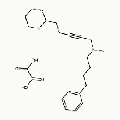 CN(CC#CCCC1SCCCS1)CCCCc1ccccc1.O=C(O)C(=O)O